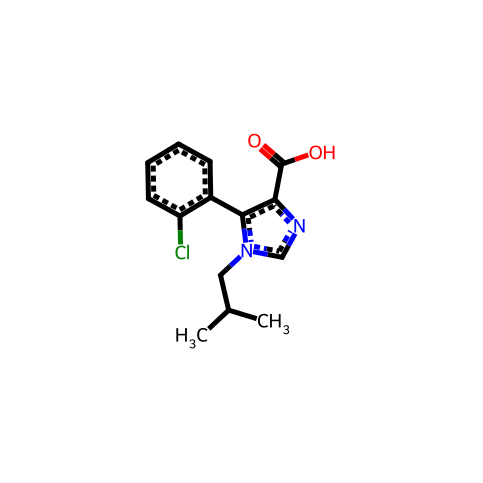 CC(C)Cn1cnc(C(=O)O)c1-c1ccccc1Cl